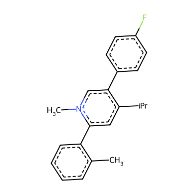 Cc1ccccc1-c1cc(C(C)C)c(-c2ccc(F)cc2)c[n+]1C